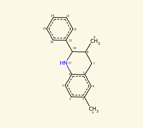 Cc1ccc2c(c1)CC(C)C(c1ccccc1)N2